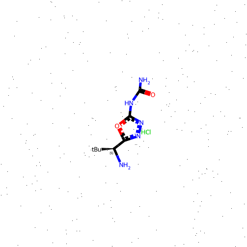 CC(C)(C)[C@H](N)c1nnc(NC(N)=O)o1.Cl